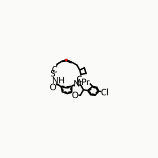 CCCc1cc(Cl)ccc1C1COc2ccc3cc2N(C1)CC1CCC1CC1=CC(CCSNC3=O)C1